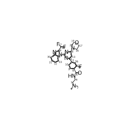 CN(C)CCNC(=O)c1ccc(-c2cc(N3CCOCC3)nc(-n3c(C(F)F)nc4ccccc43)n2)cc1F